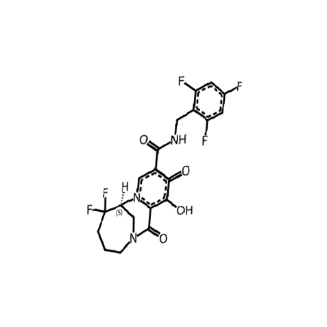 O=C(NCc1c(F)cc(F)cc1F)c1cn2c(c(O)c1=O)C(=O)N1CCCC(F)(F)[C@@H]2C1